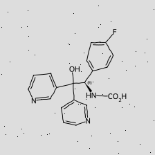 O=C(O)N[C@H](c1ccc(F)cc1)C(O)(c1cccnc1)c1cccnc1